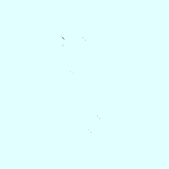 C[C@@H]1CNc2c(sc3ccn4nc(O)c(F)c4c23)C(=O)N1